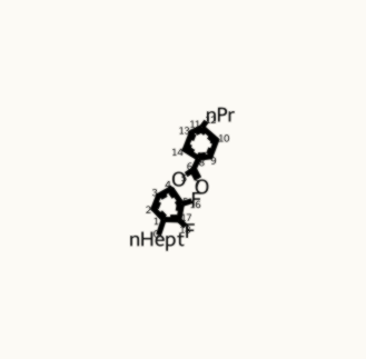 CCCCCCCc1ccc(OC(=O)c2ccc(CCC)cc2)c(F)c1F